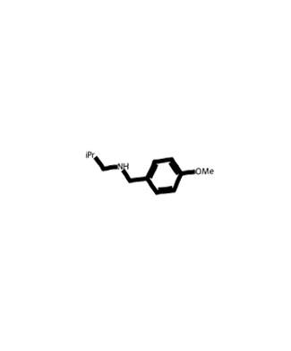 COc1ccc(CNCC(C)C)cc1